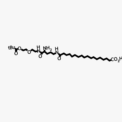 CC(C)(C)C(=O)OCCOCCNC(=O)C(N)CCCNC(=O)CCCCCCCCCCCCCCCCC(=O)O